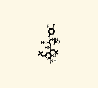 CNc1nc(CC(C)(C)C)cc2c1OC(C)(C)C[C@@H]2NC[C@@H](O)[C@H](Cc1ccc(F)c(F)c1)NC(C)=O